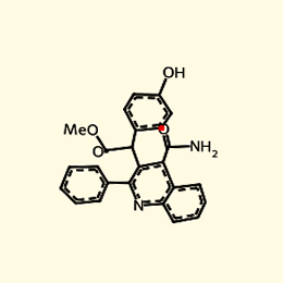 COC(=O)C(c1ccc(O)cc1)c1c(-c2ccccc2)nc2ccccc2c1C(N)=O